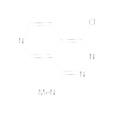 CNc1nnc(Cl)c2ccncc12